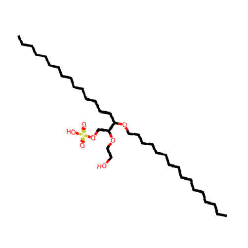 CCCCCCCCCCCCCCCCOC(CCCCCCCCCCCCCCC)C(COS(=O)(=O)O)OCCO